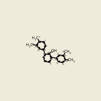 Cc1ccc(-c2cccc(-c3ccc(C)c(C)c3)c2O)cc1C